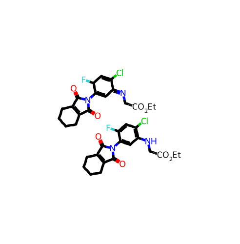 CCOC(=O)C/N=C1\C=C(N2C(=O)C3=C(CCCC3)C2=O)C(F)C=C1Cl.CCOC(=O)CNc1cc(N2C(=O)C3=C(CCCC3)C2=O)c(F)cc1Cl